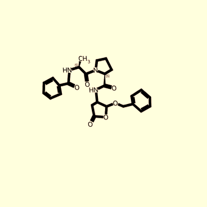 C[C@H](NC(=O)c1ccccc1)C(=O)N1CCC[C@H]1C(=O)NC1CC(=O)OC1OCc1ccccc1